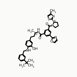 Cc1csc([C@H]2CCCN2C(=O)c2cc(C(=O)N[C@@H](C)CCc3ccc(NCc4cccc(C(C)(C)C)c4)c(O)c3)cc(-c3ncco3)c2)n1